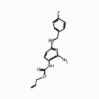 C=CCOC(=O)Nc1ccc(NCc2ccc(F)cc2)nc1N